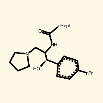 CCCCCCCC(=O)NC(CN1CCCC1)[C@H](O)c1ccc(CCC)cc1